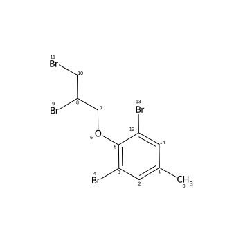 Cc1cc(Br)c(OCC(Br)CBr)c(Br)c1